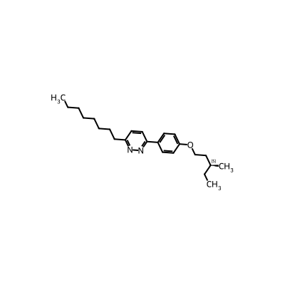 CCCCCCCCc1ccc(-c2ccc(OCC[C@@H](C)CC)cc2)nn1